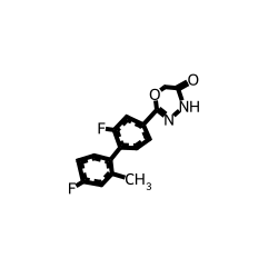 Cc1cc(F)ccc1-c1ccc(C2=NNC(=O)CO2)cc1F